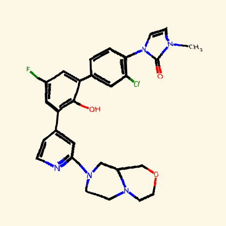 Cn1ccn(-c2ccc(-c3cc(F)cc(-c4ccnc(N5CCN6CCOCC6C5)c4)c3O)cc2Cl)c1=O